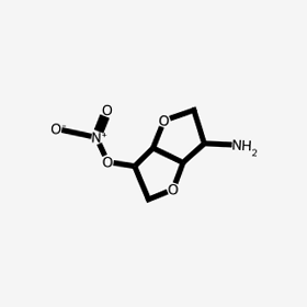 NC1COC2C(O[N+](=O)[O-])COC12